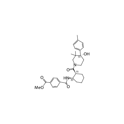 COC(=O)c1ccc(C(=O)N[C@@H]2CCCC[C@@H]2C(=O)N2CC[C@](O)(c3ccc(C)cc3)C(C)(C)C2)cc1